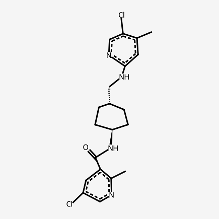 Cc1cc(NC[C@H]2CC[C@H](NC(=O)c3cc(Cl)cnc3C)CC2)ncc1Cl